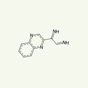 N=CC(=N)c1cnc2ccccc2n1